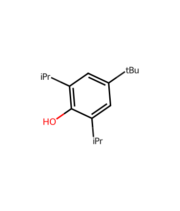 CC(C)c1cc(C(C)(C)C)cc(C(C)C)c1O